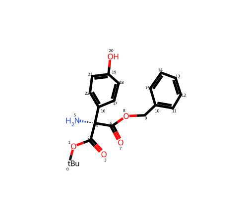 CC(C)(C)OC(=O)[C@](N)(C(=O)OCc1ccccc1)c1ccc(O)cc1